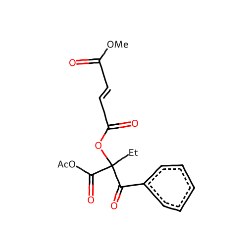 CCC(OC(=O)C=CC(=O)OC)(C(=O)OC(C)=O)C(=O)c1ccccc1